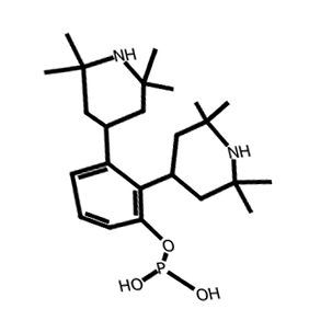 CC1(C)CC(c2cccc(OP(O)O)c2C2CC(C)(C)NC(C)(C)C2)CC(C)(C)N1